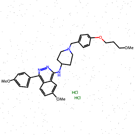 COCCCOc1ccc(CN2CCC(Nc3nnc(-c4ccc(OC)cc4)c4ccc(OC)cc34)CC2)cc1.Cl.Cl